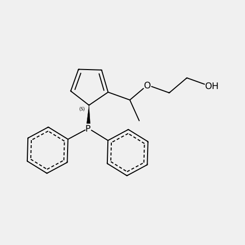 CC(OCCO)C1=CC=C[C@@H]1P(c1ccccc1)c1ccccc1